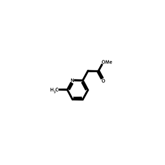 COC(=O)Cc1cccc(C)n1